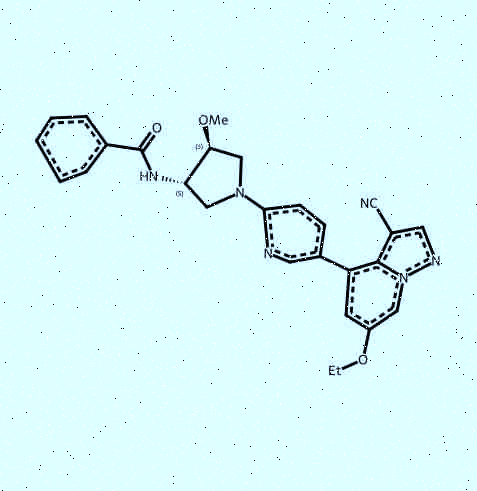 CCOc1cc(-c2ccc(N3C[C@H](NC(=O)c4ccccc4)[C@@H](OC)C3)nc2)c2c(C#N)cnn2c1